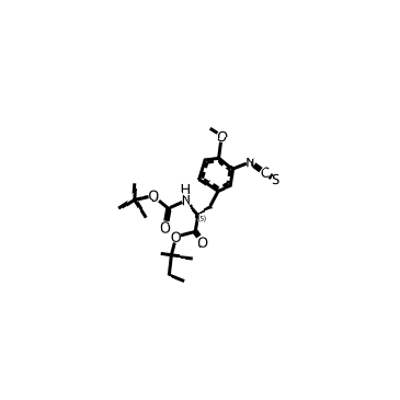 CCC(C)(C)OC(=O)[C@H](Cc1ccc(OC)c(N=C=S)c1)NC(=O)OC(C)(C)C